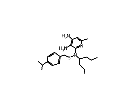 CCCC(CCC)N(SCc1ccc(C(C)C)cc1)c1nc(C)cc(N)c1N